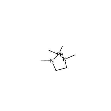 CN1CCN(C)[PH]1(C)C